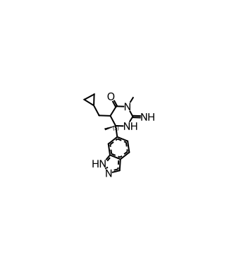 CN1C(=N)N[C@](C)(c2ccc3cn[nH]c3c2)C(CC2CC2)C1=O